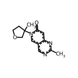 Cc1ncc2cn(C3(C)CCOC3)c(=O)cc2n1